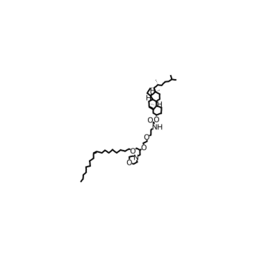 CCCCCCCC/C=C\CCCCCCCCOCC(CN1CCOCC1)OCCOCCNC(=O)O[C@H]1CC[C@@]2(C)C(=CC[C@H]3[C@@H]4CC[C@H]([C@H](C)CCCC(C)C)[C@@]4(C)CC[C@@H]32)C1